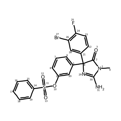 CN1C(=O)C(c2cccc(OS(=O)(=O)c3ccccc3)c2)(c2ccc(F)c(Br)c2)N=C1N